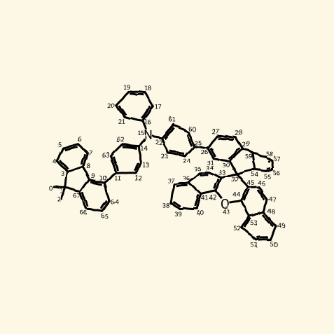 CC1(C)c2ccccc2-c2c(-c3ccc(N(c4ccccc4)c4ccc(-c5ccc6c(c5)C5(c7ccc8ccccc8c7Oc7c5ccc5ccccc75)C5C=CC=CC65)cc4)cc3)cccc21